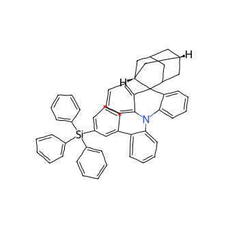 c1ccc([Si](c2ccccc2)(c2ccccc2)c2cccc(-c3ccccc3N3c4ccccc4C4(c5ccccc53)C3CC5C[C@H](C3)C[C@H]4C5)c2)cc1